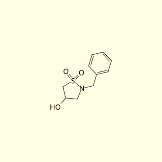 O=S1(=O)CC(O)CN1Cc1ccccc1